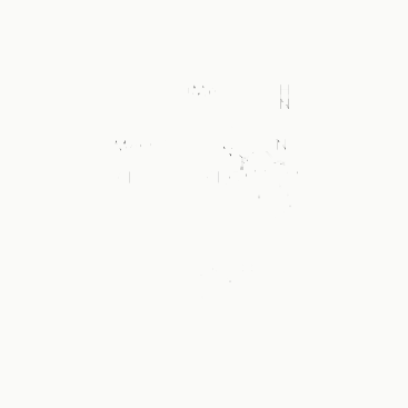 COc1cc(CN(C(=O)C2=C(c3ccc(CCOc4c(C)ccc(C)c4C)cc3)CC3CNCC2N3C(=O)OC(C)(C)C(Cl)(Cl)Cl)C2CC2)cc(OC)c1.Cl